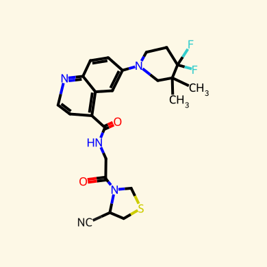 CC1(C)CN(c2ccc3nccc(C(=O)NCC(=O)N4CSCC4C#N)c3c2)CCC1(F)F